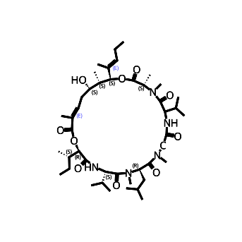 CC/C=C(\C)[C@H]1OC(=O)[C@H](C)N(C)C(=O)C(C(C)C)NC(=O)CN(C)C(=O)[C@@H](CC(C)C)N(C)C(=O)[C@H](C(C)C)NC(=O)[C@@H]([C@@H](C)CC)OC(=O)/C(C)=C/C[C@H](O)[C@@H]1C